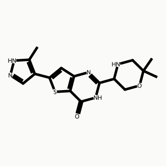 Cc1[nH]ncc1-c1cc2nc(C3COC(C)(C)CN3)[nH]c(=O)c2s1